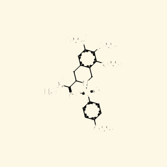 COc1ccc(S(=O)(=O)N2Cc3c(cc(OC)c(OC)c3OC)CC2C(=O)NO)cc1